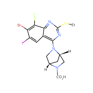 CCSc1nc(N2C[C@@H]3C[C@H]2CN3C(=O)O)c2cc(I)c(Br)c(F)c2n1